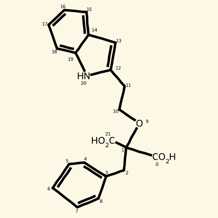 O=C(O)C(Cc1ccccc1)(OCCc1cc2ccccc2[nH]1)C(=O)O